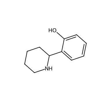 Oc1ccccc1C1CCCCN1